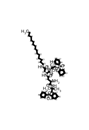 CCCCCCCCCCCCCCCCNC(=O)C[C@H](NC(=O)C[C@H](N)C(=O)NC(C)(C)COP(=O)(c1ccccc1)c1ccccc1)C(=O)NC(C)(C)COP(=O)(c1ccccc1)c1ccccc1